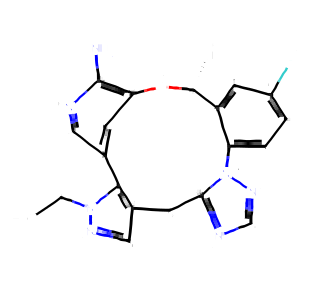 CCn1ncc2c1-c1cnc(N)c(c1)O[C@H](C)c1cc(F)ccc1-n1ncnc1C2